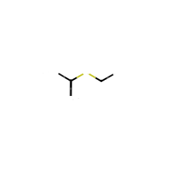 CCCCCC(CCCCC)SCC(=O)O